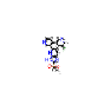 CS(=O)(=O)c1nc2cc(-c3ccncc3F)c(-c3cccnc3)nc2[nH]1